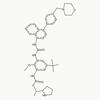 COc1c(NC(=O)Nc2ccc(-c3ccc(CN4CCOCC4)cc3)c3ccccc23)cc(C(C)(C)C)cc1NC(=O)OC(C)C1CCCN1